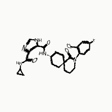 O=C(NC1CC1)c1nc[nH]c1C(=O)N[C@H]1CC[C@@]2(CCCN(c3ccc(F)cc3Cl)C2=O)CC1